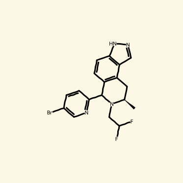 C[C@@H]1Cc2c(ccc3[nH]ncc23)C(c2ccc(Br)cn2)N1CC(F)F